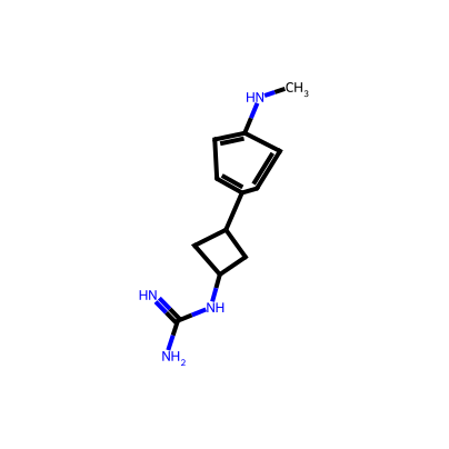 CNc1ccc(C2CC(NC(=N)N)C2)cc1